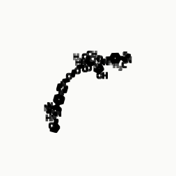 Cc1ncsc1-c1ccc(CNC(=O)[C@@H]2C[C@@H](O)CN2CC(=O)[C@@H](NC(=O)COCCOCCN2CCN(c3ccc(-c4cnc(NCc5ccco5)n5cnnc45)cc3)CC2)C(C)(C)C)cc1